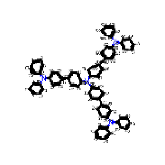 c1cccc(N(c2ccccc2)c2ccc(-c3ccc(N(c4ccc(-c5ccc(N(c6ccccc6)c6ccccc6)cc5)cc4)c4ccc(-c5ccc(N(c6ccccc6)c6ccccc6)cc5)cc4)cc3)cc2)c#1